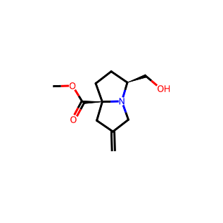 C=C1CN2[C@H](CO)CC[C@@]2(C(=O)OC)C1